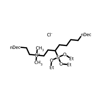 CCCCCCCCCCCCCCC(CC[N+](C)(C)CCCCCCCCCCCC)[Si](OCC)(OCC)OCC.[Cl-]